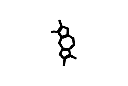 CC1=C(C)C2=C(C1)CC1=C(CC2)CC(C)=C1C